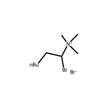 CCCCCC(Br)[N+](C)(C)C.[Br-]